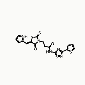 O=C(CCN1C(=O)/C(=C/c2ccc[nH]2)SC1=S)Nc1nc(-c2cccs2)ns1